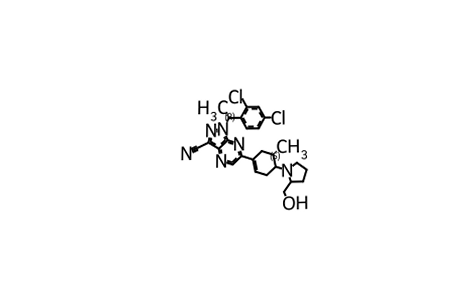 C[C@H](c1ccc(Cl)cc1Cl)n1nc(C#N)c2ncc(C3=CCC(N4CCCC4CO)[C@@H](C)C3)nc21